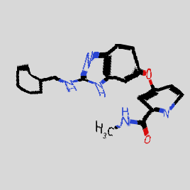 CNC(=O)c1cc(Oc2ccc3nc(NCC4CCCCC4)[nH]c3c2)ccn1